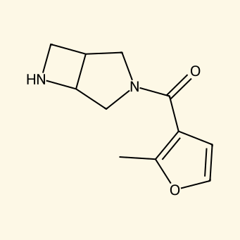 Cc1occc1C(=O)N1CC2CNC2C1